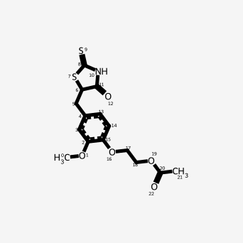 COc1cc(CC2SC(=S)NC2=O)ccc1OCCOC(C)=O